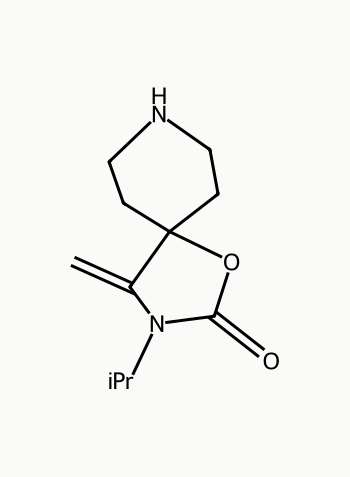 C=C1N(C(C)C)C(=O)OC12CCNCC2